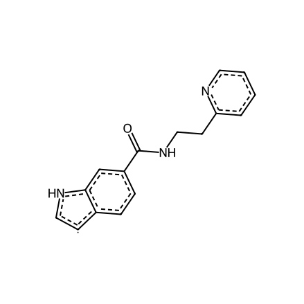 O=C(NCCc1ccccn1)c1ccc2[c]c[nH]c2c1